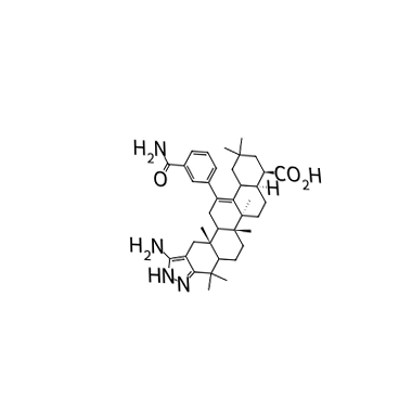 CC1(C)CC2C3=C(c4cccc(C(N)=O)c4)CC4[C@@]5(C)Cc6c(n[nH]c6N)C(C)(C)C5CC[C@@]4(C)[C@]3(C)CC[C@@H]2[C@H](C(=O)O)C1